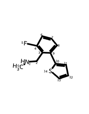 CNCc1c(F)cccc1-c1cc[c]s1